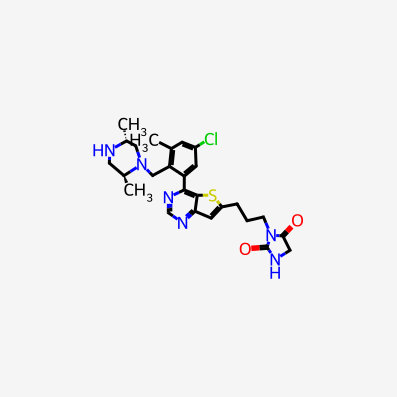 Cc1cc(Cl)cc(-c2ncnc3cc(CCCN4C(=O)CNC4=O)sc23)c1CN1C[C@@H](C)NC[C@@H]1C